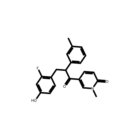 Cc1cccc(C(Cc2ccc(O)cc2F)C(=O)c2ccc(=O)n(C)c2)c1